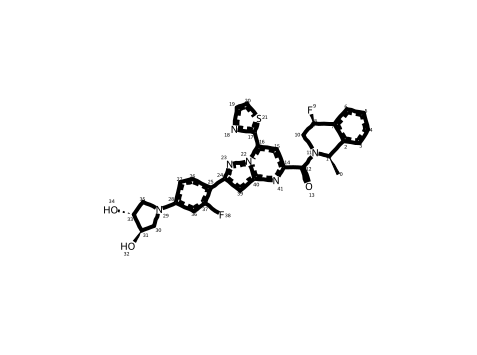 C[C@@H]1c2ccccc2[C@H](F)CN1C(=O)c1cc(-c2nccs2)n2nc(-c3ccc(N4C[C@@H](O)[C@H](O)C4)cc3F)cc2n1